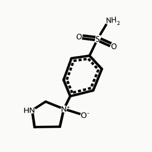 NS(=O)(=O)c1ccc([N+]2([O-])CCNC2)cc1